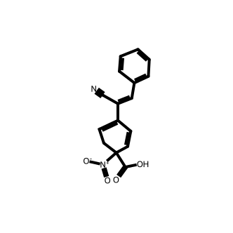 N#CC(=Cc1ccccc1)C1=CCC(C(=O)O)([N+](=O)[O-])C=C1